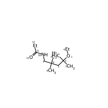 CCOC(C)(C)CC(C)(C)CNC(=O)CC